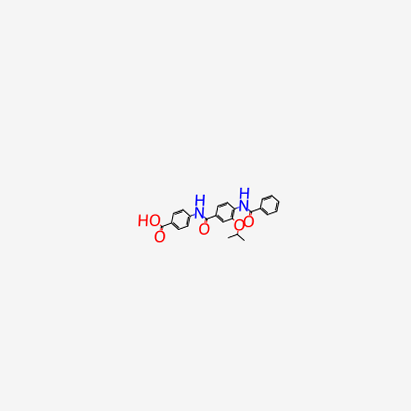 CC(C)Oc1cc(C(=O)Nc2ccc(C(=O)O)cc2)ccc1NC(=O)c1ccccc1